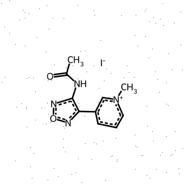 CC(=O)Nc1nonc1-c1ccc[n+](C)c1.[I-]